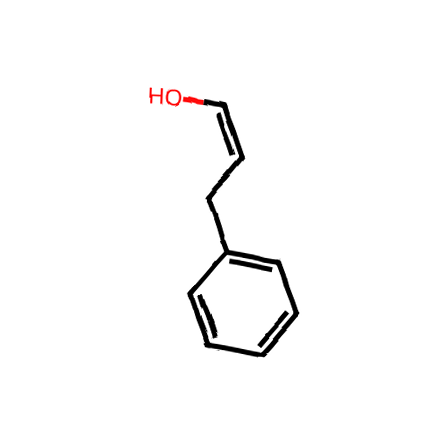 O/C=C\Cc1ccccc1